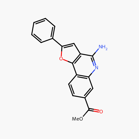 COC(=O)c1ccc2c(c1)nc(N)c1cc(-c3ccccc3)oc12